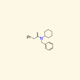 C=C(CC(C)C)N(Cc1ccccc1)C1CCCCC1